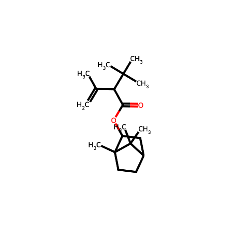 C=C(C)C(C(=O)OC1CC2CCC1(C)C2(C)C)C(C)(C)C